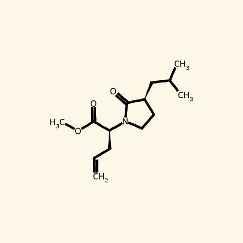 C=CC[C@@H](C(=O)OC)N1CC[C@H](CC(C)C)C1=O